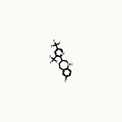 Fc1ccc2c(c1)CCC(c1ncc(C(F)(F)F)cc1C(F)(F)F)CN2